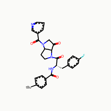 CC(C)(C)c1ccc(C(=O)N[C@@H](Cc2ccc(F)cc2)C(=O)N2CCC3C2C(=O)CN3C(=O)c2cccnc2)cc1